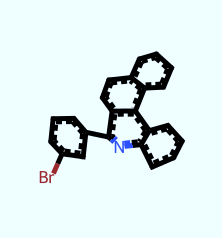 Brc1cccc(-c2nc3ccccc3c3c2ccc2ccccc23)c1